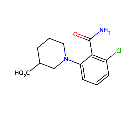 NC(=O)c1c(Cl)cccc1N1CCCC(C(=O)O)C1